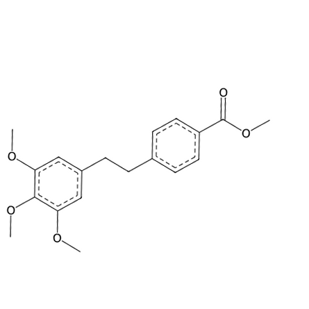 COC(=O)c1ccc(CCc2cc(OC)c(OC)c(OC)c2)cc1